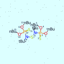 CCCCOP(=S)(OCCCC)N(SN(C(C)(C)C)P(=S)(OCCCC)OCCCC)C(C)(C)C